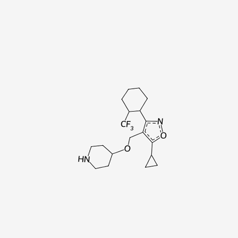 FC(F)(F)C1CCCCC1c1noc(C2CC2)c1COC1CCNCC1